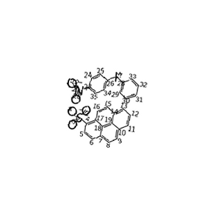 O=S(=O)([O-])c1ccc2ccc3cccc4ccc1c2c34.O=[N+]([O-])c1ccc([I+]c2ccccc2)cc1